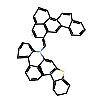 C/C=C\C(=C/N(c1ccc2c3c(sc2c1)=CCCC=3)c1ccccc1-c1ccccc1)c1cc2c3ccccc3ccc2c2ccccc12